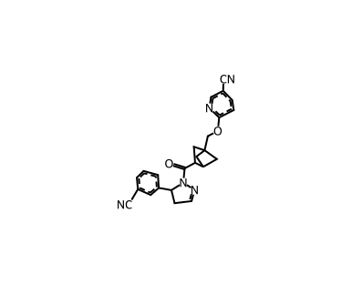 N#Cc1ccc(OCC23CC(C2)C(C(=O)N2N=CCC2c2cccc(C#N)c2)C3)nc1